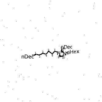 CCCCCCCCCCCCCCCCC[n+]1ccn(CCCCCC)c1CCCCCCCCCC